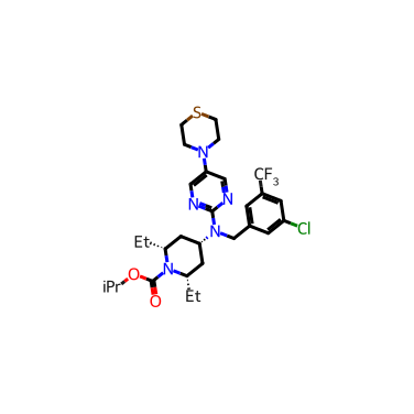 CC[C@@H]1C[C@H](N(Cc2cc(Cl)cc(C(F)(F)F)c2)c2ncc(N3CCSCC3)cn2)C[C@H](CC)N1C(=O)OC(C)C